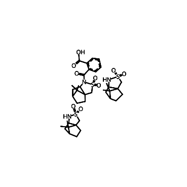 CC1(C)C2CCC13CS(=O)(=O)N(C(=O)c1ccccc1C(=O)O)C3C2.CC1(C)C2CCC13CS(=O)(=O)NC3C2.CC1(C)C2CCC13CS(=O)(=O)NC3C2